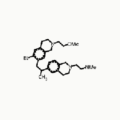 CCc1cc2c(cc1CC(C)c1ccc3c(c1)CCN(CCNC)C3)CN(CCOC)CC2